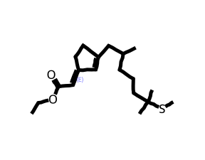 CCOC(=O)/C=C1/C=C(CC(C)CCCC(C)(C)SC)CC1